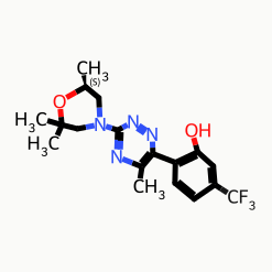 Cc1nc(N2C[C@H](C)OC(C)(C)C2)nnc1-c1ccc(C(F)(F)F)cc1O